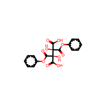 O=C(O)[C@](O)(C(=O)Oc1ccccc1)[C@](O)(C(=O)O)C(=O)Oc1ccccc1